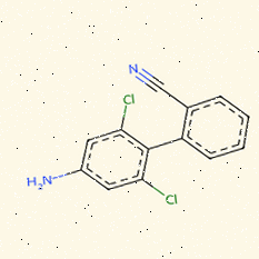 N#Cc1ccccc1-c1c(Cl)cc(N)cc1Cl